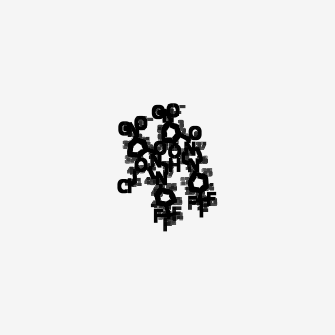 O=C(c1cc([N+](=O)[O-])ccc1O)N1CCN(c2ccc(C(F)(F)F)cc2)CC1.O=C(c1cc([N+](=O)[O-])ccc1OCCCl)N1CCN(c2ccc(C(F)(F)F)cc2)CC1